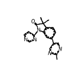 Cc1ncc(-c2ccc3c(c2)N(c2ccncn2)C(=O)C3(C)C)cn1